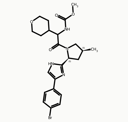 COC(=O)NC(C(=O)N1C[C@@H](C)C[C@H]1c1nc(-c2ccc(Br)cc2)c[nH]1)C1CCOCC1